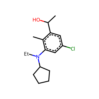 CCN(c1cc(Cl)cc(C(C)O)c1C)C1CCCC1